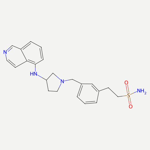 NS(=O)(=O)CCc1cccc(CN2CCC(Nc3cccc4cnccc34)C2)c1